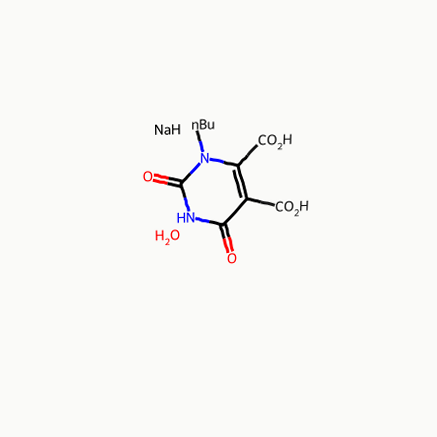 CCCCn1c(C(=O)O)c(C(=O)O)c(=O)[nH]c1=O.O.[NaH]